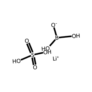 O=S(=O)(O)O.[Li+].[O-]B(O)O